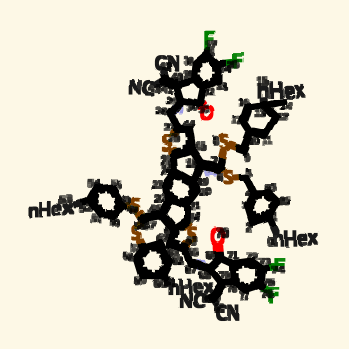 CCCCCCc1ccc(CS/C(SCC2=CCC(C)(CCCCCC)C=C2)=C2\c3cc4c(cc3-c3sc(/C=C5\C(=O)c6cc(F)c(F)cc6C5=C(C#N)C#N)cc32)C(=C(Sc2ccc(CCCCCC)cc2)Sc2ccc(CCCCCC)cc2)c2cc(/C=C3\C(=O)c5cc(F)c(F)cc5C3=C(C#N)C#N)sc2-4)cc1